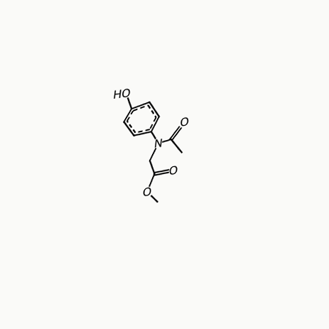 COC(=O)CN(C(C)=O)c1ccc(O)cc1